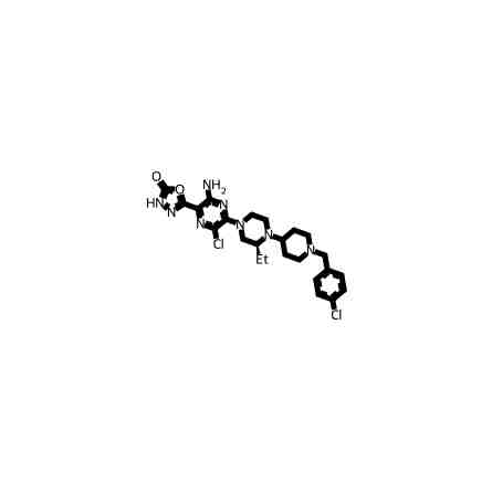 CC[C@H]1CN(c2nc(N)c(-c3n[nH]c(=O)o3)nc2Cl)CCN1C1CCN(Cc2ccc(Cl)cc2)CC1